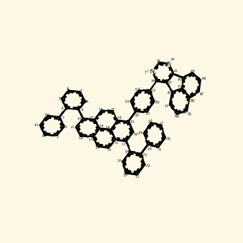 c1ccc(-c2ccccc2-c2ccc3ccc4c(-c5ccccc5-c5ccccc5)cc(-c5ccc(-c6ncnc7c6-c6cccc8cccc-7c68)cc5)c5ccc2c3c54)cc1